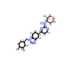 Cc1ccc(Cn2nnc3cc(-c4ccnc(N[C@@H]5CCOC[C@H]5F)n4)ccc32)cc1F